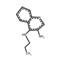 CCCNc1c(N)cnc2ccccc12